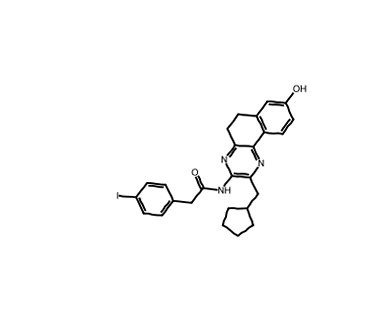 O=C(Cc1ccc(I)cc1)Nc1nc2c(nc1CC1CCCC1)-c1ccc(O)cc1CC2